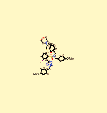 COc1ccc(CN(Cc2ccc(OC)cc2)S(=O)(=O)c2c(SCCN3CCOCC3)ccc(I)c2-c2nnn(Cc3ccc(OC)cc3)n2)cc1